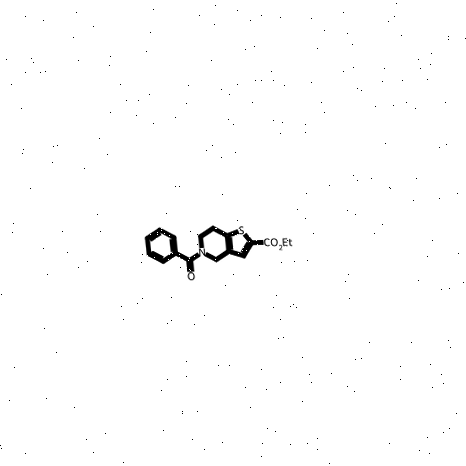 CCOC(=O)c1cc2c(s1)CCN(C(=O)c1ccccc1)C2